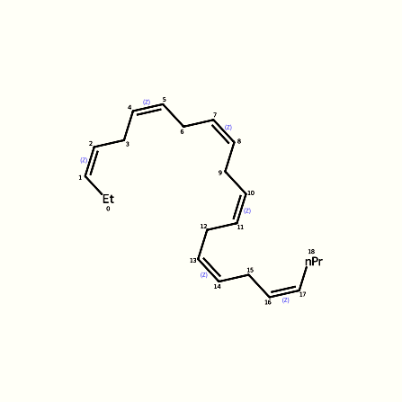 [CH2]C/C=C\C/C=C\C/C=C\C/C=C\C/C=C\C/C=C\CCC